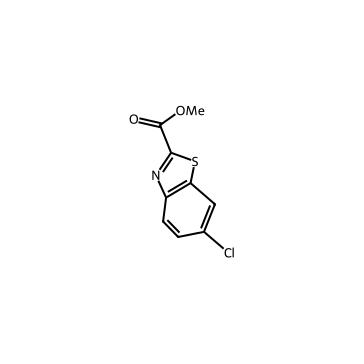 COC(=O)c1nc2ccc(Cl)cc2s1